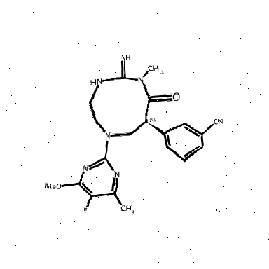 COc1nc(N2CCNC(=N)N(C)C(=O)[C@@H](c3cccc(C#N)c3)C2)nc(C)c1F